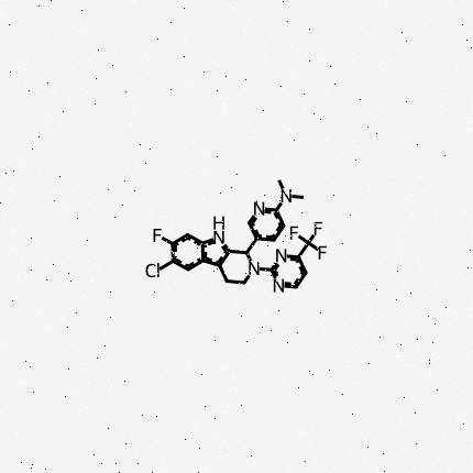 CN(C)c1ccc(C2c3[nH]c4cc(F)c(Cl)cc4c3CCN2c2nccc(C(F)(F)F)n2)cn1